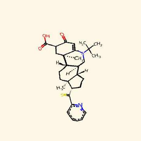 CC(C)(C)N1C[C@H]2[C@@H]3CC[C@H](C(=S)c4ccccn4)[C@@]3(C)CC[C@@H]2[C@@]2(C)CC(C(=O)O)C(=O)C=C12